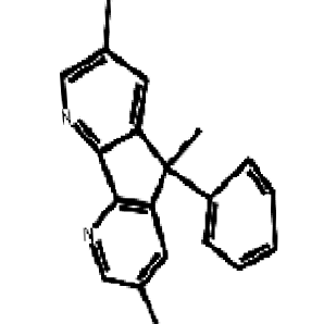 Cc1cnc2c(c1)C(C)(c1ccccc1)c1cc(C)cnc1-2